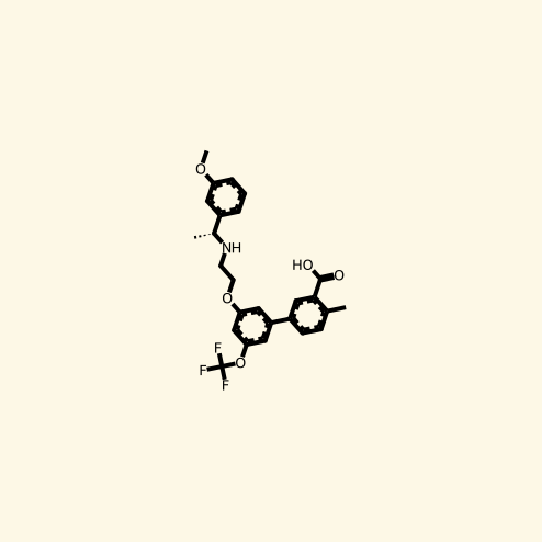 COc1cccc([C@@H](C)NCCOc2cc(OC(F)(F)F)cc(-c3ccc(C)c(C(=O)O)c3)c2)c1